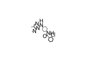 Cc1cnc(N[C@H]2CC[C@@H](NC(=O)c3ccccc3Cl)CC2)nc1N(C)C